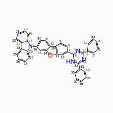 c1ccc(C2=NC(c3ccc4c(c3)oc3cc(-n5c6ccccc6c6ccccc65)ccc34)NC(c3ccccc3)=N2)cc1